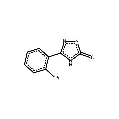 CC(C)c1ccccc1-c1nsc(=O)[nH]1